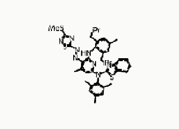 CSc1nsc(N=Nc2c(C)cc(N(c3nc4ccccc4s3)c3c(C)cc(C)cc3C)nc2Nc2c(CC(C)C)cc(C)cc2CC(C)C)n1